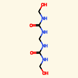 O=C(NCO)NCNC(=O)NCO